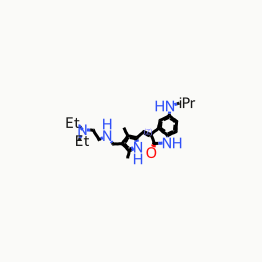 CCN(CC)CCNCc1c(C)[nH]c(/C=C2\C(=O)Nc3ccc(NC(C)C)cc32)c1C